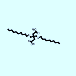 CCCCCCCCCCOCC(COCCCCCCCCCC)(CC(=O)O)CC(=O)O